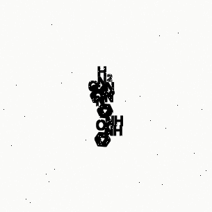 Nc1ncnc2c1c(=O)ccn2-c1ccc(NC(=O)Nc2ccccc2)cc1